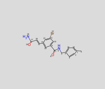 Cc1ccc(CNC(=O)c2cc(Br)cc(/C=C/C(N)=O)c2)cc1